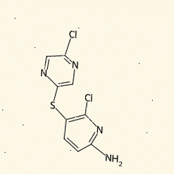 Nc1ccc(Sc2cnc(Cl)cn2)c(Cl)n1